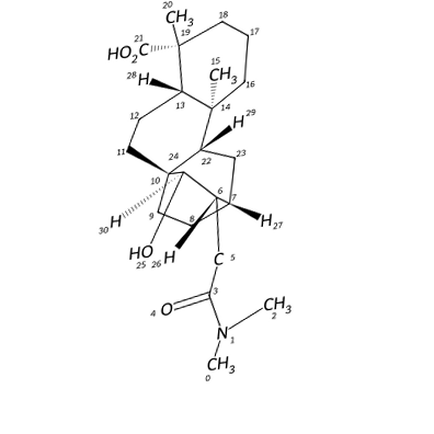 CN(C)C(=O)C[C@H]1[C@H]2CC[C@@]3(CC[C@H]4[C@@](C)(CCC[C@@]4(C)C(=O)O)[C@@H]3C2)[C@@H]1O